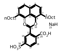 CCCCCCCCc1ccc2ccc(CCCCCCCC)c(OC(=O)c3cc(S(=O)(=O)O)ccc3C(=O)O)c2c1.[NaH]